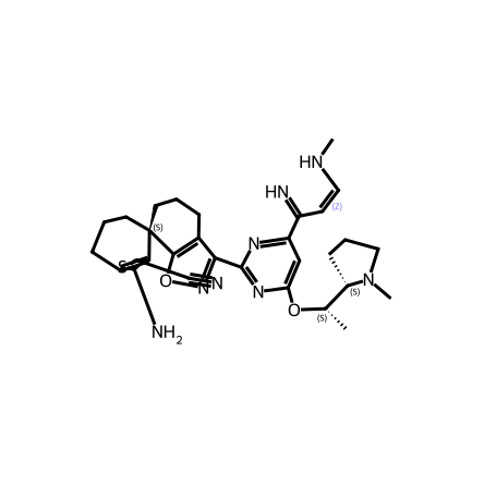 CN/C=C\C(=N)c1cc(O[C@@H](C)[C@@H]2CCCN2C)nc(-c2noc3c2CCC[C@@]32CCCc3sc(N)c(C#N)c32)n1